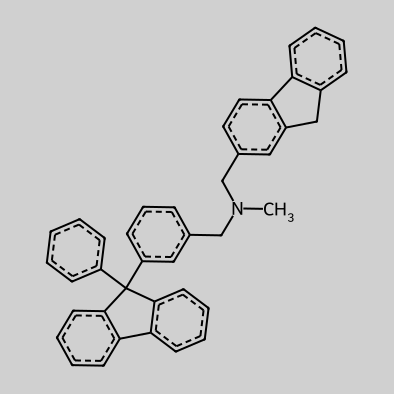 CN(Cc1cccc(C2(c3ccccc3)c3ccccc3-c3ccccc32)c1)Cc1ccc2c(c1)Cc1ccccc1-2